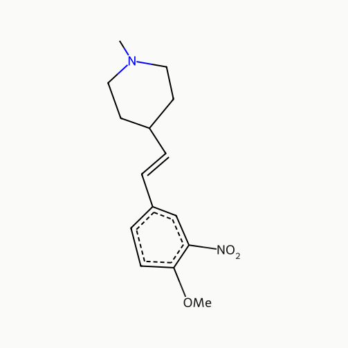 COc1ccc(C=CC2CCN(C)CC2)cc1[N+](=O)[O-]